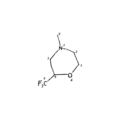 CN1CCOC(C(F)(F)F)C1